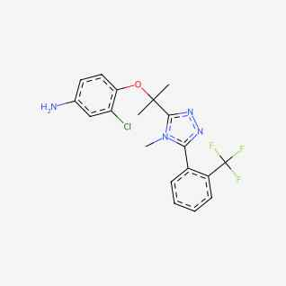 Cn1c(-c2ccccc2C(F)(F)F)nnc1C(C)(C)Oc1ccc(N)cc1Cl